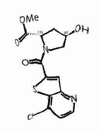 COC(=O)[C@@H]1C[C@@H](O)CN1C(=O)c1cc2nccc(Cl)c2s1